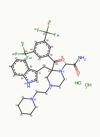 Cl.Cl.NC(=O)CN1CCN(CCN2CCCCC2)CC1(Cc1c[nH]c2ccccc12)C(=O)c1cc(C(F)(F)F)cc(C(F)(F)F)c1